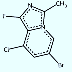 Cc1nc(F)c2c(Cl)cc(Br)cn12